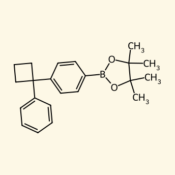 CC1(C)OB(c2ccc(C3(c4ccccc4)CCC3)cc2)OC1(C)C